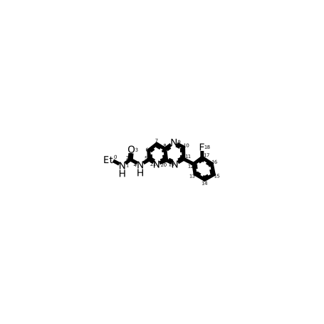 CCNC(=O)Nc1ccc2ncc(-c3ccccc3F)nc2n1